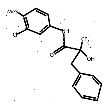 CSc1ccc(NC(=O)C(O)(Cc2ccccc2)C(F)(F)F)cc1Cl